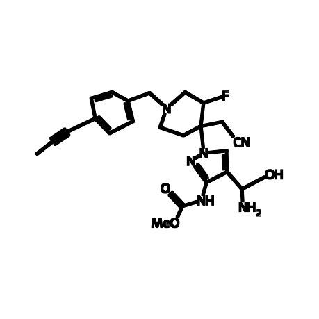 CC#Cc1ccc(CN2CCC(CC#N)(n3cc(C(N)O)c(NC(=O)OC)n3)C(F)C2)cc1